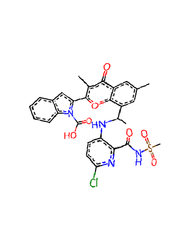 Cc1cc(C(C)Nc2ccc(Cl)nc2C(=O)NS(C)(=O)=O)c2oc(-c3cc4ccccc4n3C(=O)O)c(C)c(=O)c2c1